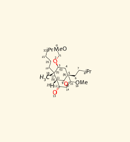 COCO[C@H]1C[C@@]2(CCC(C)C)C(=O)[C@H](C(=O)C=C2OC)[C@]1(C)CCCC(C)C